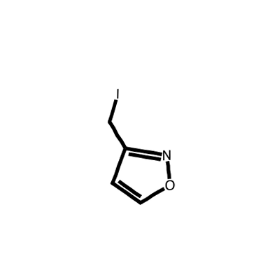 ICc1ccon1